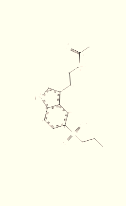 CCCS(=O)(=O)c1ccc2[nH]cc(CCNC(C)=O)c2c1